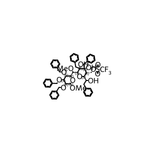 COC([C@H]1O[C@H](OC)[C@H](OCc2ccccc2)[C@@H](OCc2ccccc2)[C@@H]1OCc1ccccc1)[C@@H]1O[C@H](C(O)Cc2ccccc2)[C@@H](COS(=O)(=O)C(F)(F)F)[C@@](O)(Cc2ccccc2)[C@]1(O)Cc1ccccc1